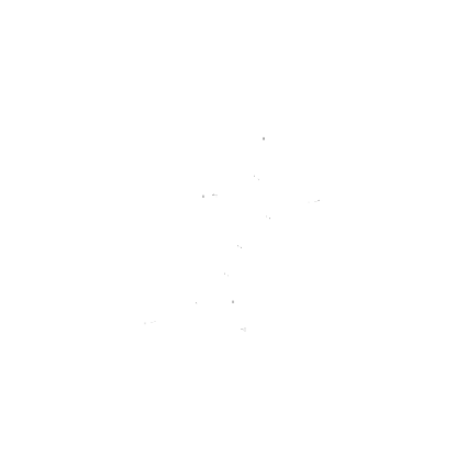 CCCCCCCCCCC(C)CN(CCN1CCN(CCN(CC(C)CCCCCCCCCC)CC(O)CCCCCCCCCC)CC1)CCN(CC(C)CCCCCCCCCC)CC(O)CCCCCCCCCC